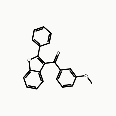 COc1cccc(C(=O)c2c(-c3ccccc3)oc3ccccc23)c1